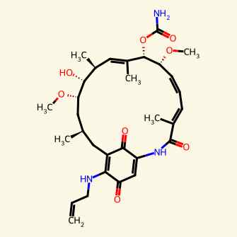 C=CCNC1=C2C[C@@H](C)C[C@H](OC)[C@H](O)[C@@H](C)/C=C(\C)[C@H](OC(N)=O)[C@H](OC)/C=C\C=C(/C)C(=O)NC(=CC1=O)C2=O